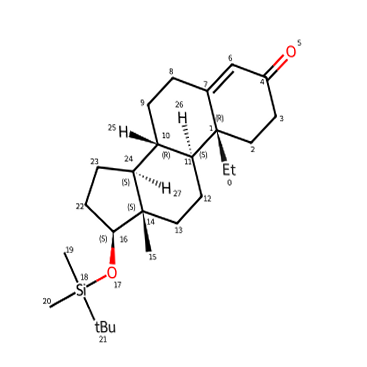 CC[C@]12CCC(=O)C=C1CC[C@@H]1[C@@H]2CC[C@]2(C)[C@@H](O[Si](C)(C)C(C)(C)C)CC[C@@H]12